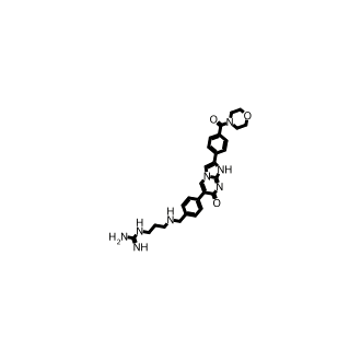 N=C(N)NCCCNCc1ccc(-c2cn3cc(-c4ccc(C(=O)N5CCOCC5)cc4)[nH]c3nc2=O)cc1